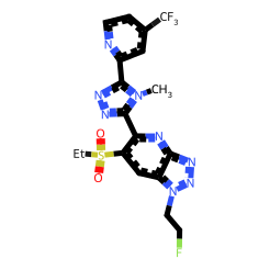 CCS(=O)(=O)c1cc2c(nnn2CCF)nc1-c1nnc(-c2cc(C(F)(F)F)ccn2)n1C